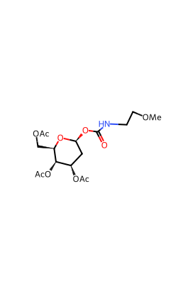 COCCNC(=O)O[C@H]1C[C@@H](OC(C)=O)[C@@H](OC(C)=O)[C@@H](COC(C)=O)O1